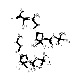 CC(C)(C)OC(=O)N1C[C@@H](CCCN)CC1(C)C.CC(C)(C)OC(=O)N1C[C@@H](CCCN)CC1(C)C.O=C(O)C(=O)O